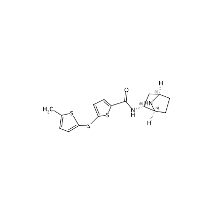 Cc1ccc(Sc2ccc(C(=O)N[C@@H]3C[C@H]4CC[C@@H]3N4)s2)s1